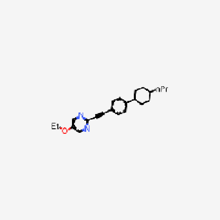 CCCC1CCC(c2ccc(C#Cc3ncc(OCC)cn3)cc2)CC1